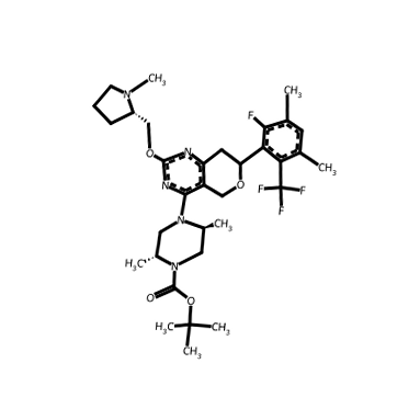 Cc1cc(C)c(C(F)(F)F)c(C2Cc3nc(OC[C@@H]4CCCN4C)nc(N4C[C@@H](C)N(C(=O)OC(C)(C)C)C[C@@H]4C)c3CO2)c1F